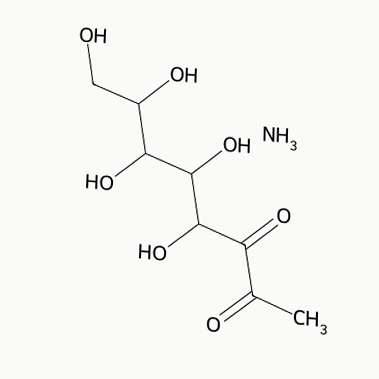 CC(=O)C(=O)C(O)C(O)C(O)C(O)CO.N